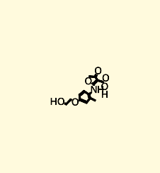 Cc1cc(OCCO)ccc1NC1=C(C(=O)O)C(=O)CO1